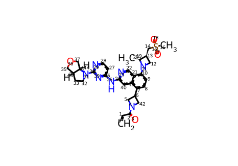 C=CC(=O)N1CC(c2ccc(N3C[C@H](CS(C)(=O)=O)[C@H]3C)c3cnc(Nc4ccnc(N5CC[C@@H]6COC[C@@H]65)n4)cc23)C1